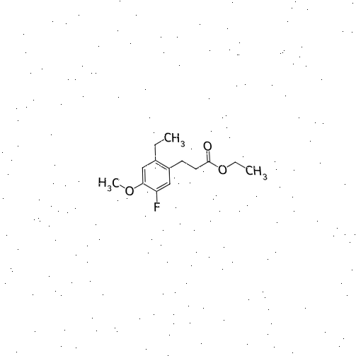 CCOC(=O)CCc1cc(F)c(OC)cc1CC